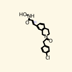 O=C(/C=C/c1ccc2c(c1)CN(C(=O)Cc1ccc(Cl)cc1)CC2)NO